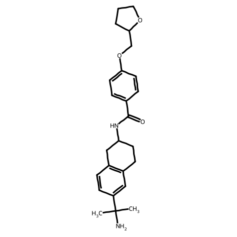 CC(C)(N)c1ccc2c(c1)CCC(NC(=O)c1ccc(OCC3CCCO3)cc1)C2